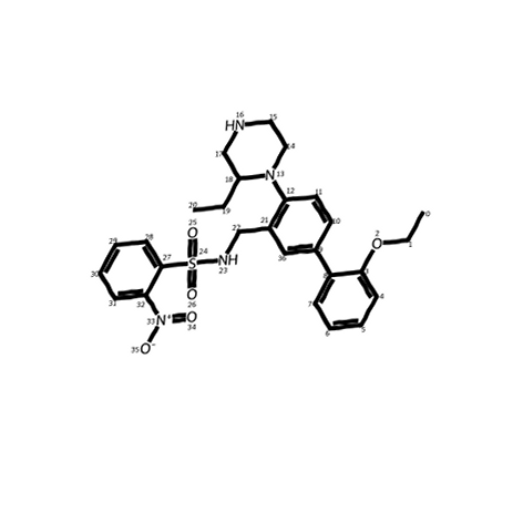 CCOc1ccccc1-c1ccc(N2CCNCC2CC)c(CNS(=O)(=O)c2ccccc2[N+](=O)[O-])c1